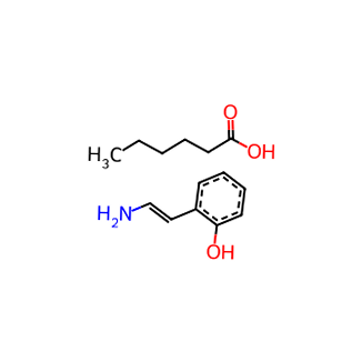 CCCCCC(=O)O.NC=Cc1ccccc1O